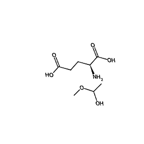 COC(C)O.N[C@@H](CCC(=O)O)C(=O)O